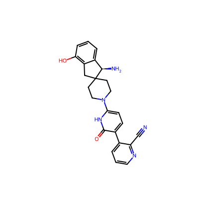 N#Cc1ncccc1-c1ccc(N2CCC3(CC2)Cc2c(O)cccc2[C@H]3N)[nH]c1=O